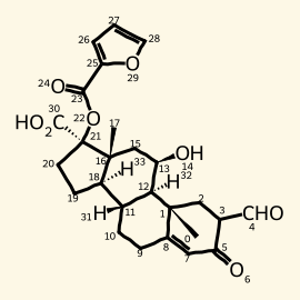 C[C@@]12CC(C=O)C(=O)C=C1CC[C@H]1[C@H]2[C@H](O)C[C@]2(C)[C@@H]1CC[C@]2(OC(=O)c1ccco1)C(=O)O